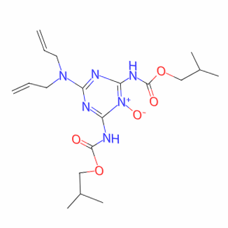 C=CCN(CC=C)c1nc(NC(=O)OCC(C)C)[n+]([O-])c(NC(=O)OCC(C)C)n1